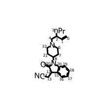 C=CC(CCC)CN1CCC(N2C(=O)C(CC#N)c3ccccc32)CC1